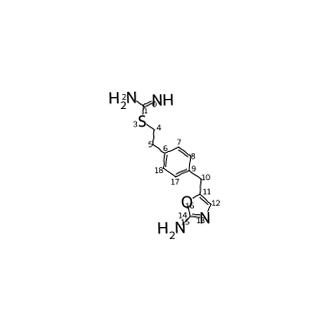 N=C(N)SCCc1ccc(Cc2cnc(N)o2)cc1